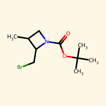 CC1CN(C(=O)OC(C)(C)C)C1CBr